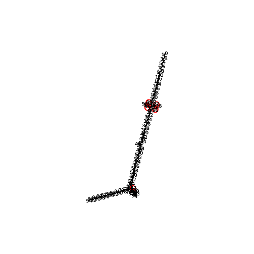 CCCCCCCCCCCCCCCCCCCCCCCC[C@@H](C(=O)OC)[C@@H](CCCCCCCCCCCCC/C=C/[C@@H]1C[C@@H]1CCCCCCCCCCCCCCCCCC[C@H](O[Si](C)(C)C(C)(C)C)[C@@H](C)CCCCCCCCCCCCCCCCCC)OC(C)=O